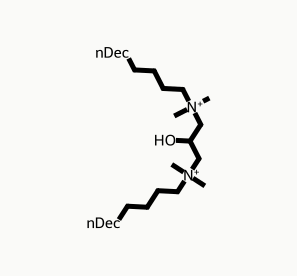 CCCCCCCCCCCCCC[N+](C)(C)CC(O)C[N+](C)(C)CCCCCCCCCCCCCC